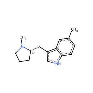 Cc1ccc2[nH]cc(C[C@@H]3CCCN3C)c2c1